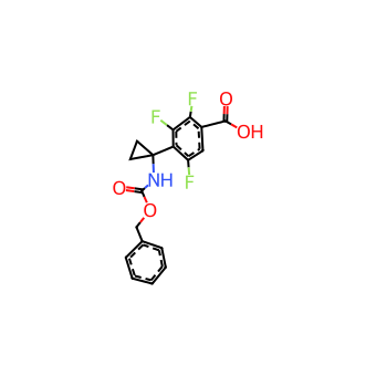 O=C(NC1(c2c(F)cc(C(=O)O)c(F)c2F)CC1)OCc1ccccc1